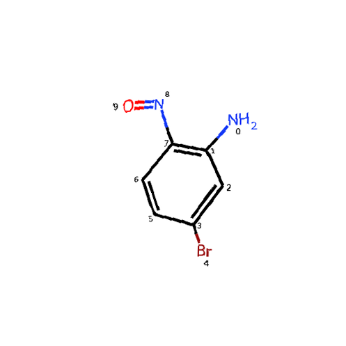 Nc1cc(Br)ccc1N=O